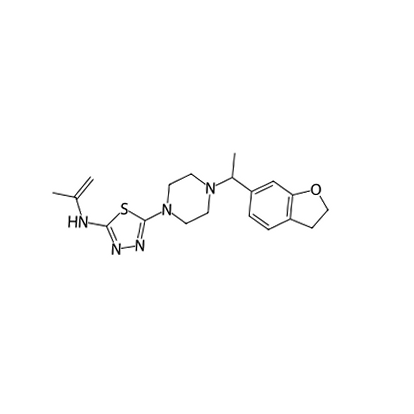 C=C(C)Nc1nnc(N2CCN(C(C)c3ccc4c(c3)OCC4)CC2)s1